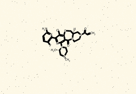 C=CC(=O)N1CCN2C(=O)c3c(N4CCN(C)C[C@@H]4C)nc(-c4nc(N)ccc4F)c(Cl)c3OC[C@H]2C1